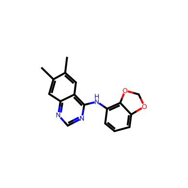 Cc1cc2ncnc(Nc3cccc4c3OCO4)c2cc1C